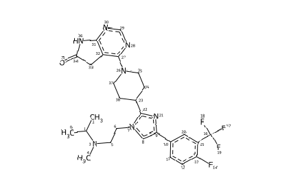 CC(C)N(C)CCn1cc(-c2ccc(F)c(C(F)(F)F)c2)nc1C1CCN(c2ncnc3c2CC(=O)N3)CC1